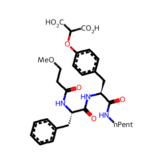 CCCCCNC(=O)[C@H](Cc1ccc(OC(C(=O)O)C(=O)O)cc1)NC(=O)[C@H](Cc1ccccc1)NC(=O)CCOC